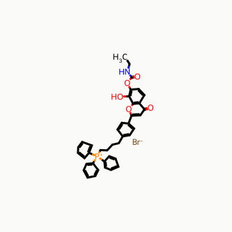 CCNC(=O)Oc1ccc2c(=O)cc(-c3ccc(CCCC[P+](c4ccccc4)(c4ccccc4)c4ccccc4)cc3)oc2c1O.[Br-]